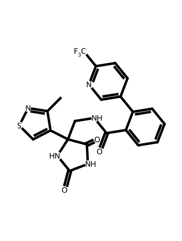 Cc1nscc1C1(CNC(=O)c2ccccc2-c2ccc(C(F)(F)F)nc2)NC(=O)NC1=O